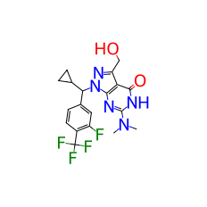 CN(C)c1nc2c(c(CO)nn2C(c2ccc(C(F)(F)F)c(F)c2)C2CC2)c(=O)[nH]1